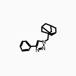 c1ccc(-c2cn(CC34CC5CC(CC(C5)C3)C4)nn2)cc1